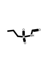 CCCS(=O)(=O)N[C]=O